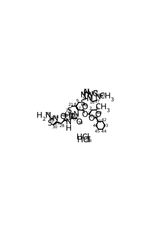 CCCC(OC(=O)C1=C(CSc2nnnn2CCN(C)C)CS[C@H]2[C@H](NC(=O)Cc3csc(N)n3)C(=O)N12)OC(=O)C1CCCCC1.Cl.Cl